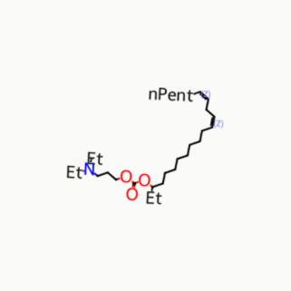 CCCCC/C=C\C/C=C\CCCCCCCCC(CC)OC(=O)OCCCN(CC)CC